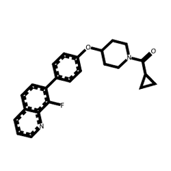 O=C(C1CC1)N1CCC(Oc2ccc(-c3ccc4cccnc4c3F)cc2)CC1